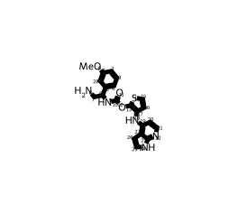 COc1cccc(C(CN)NC(=O)Oc2sccc2Nc2ccnc3[nH]ccc23)c1